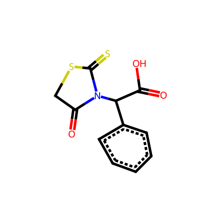 O=C(O)C(c1ccccc1)N1C(=O)CSC1=S